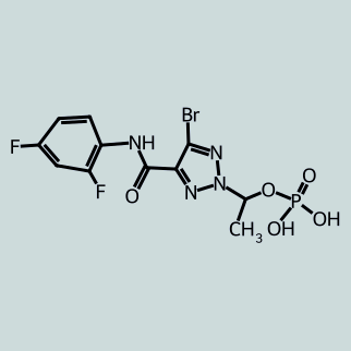 CC(OP(=O)(O)O)n1nc(Br)c(C(=O)Nc2ccc(F)cc2F)n1